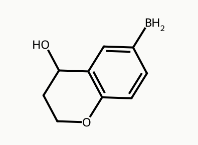 Bc1ccc2c(c1)C(O)CCO2